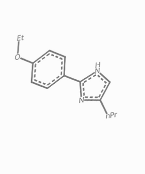 CCCc1c[nH]c(-c2ccc(OCC)cc2)n1